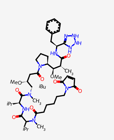 CC[C@H](C)[C@@H]([C@@H](CC(=O)N1CCC[C@H]1[C@H](OC)[C@@H](C)C(=O)N[C@@H](Cc1ccccc1)C1=NNNN1)OC)N(C)C(=O)[C@@H](NC(=O)C(C(C)C)N(C)C(=O)CCCCCN1C(=O)C=CC1=O)C(C)C